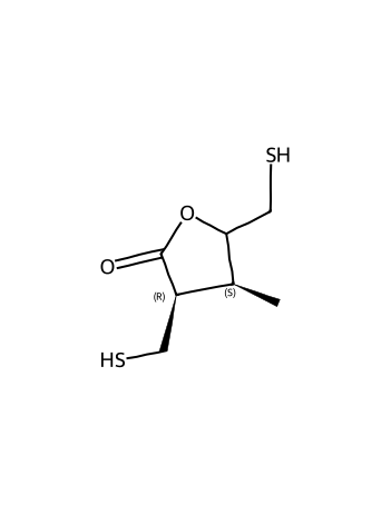 C[C@@H]1C(CS)OC(=O)[C@@H]1CS